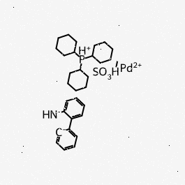 C1CCC([PH+](C2CCCCC2)C2CCCCC2)CC1.CS(=O)(=O)O.[NH-]c1ccccc1-c1[c-]cccc1.[Pd+2]